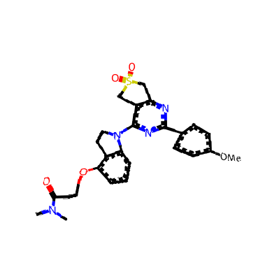 COc1ccc(-c2nc3c(c(N4CCc5c(OCC(=O)N(C)C)cccc54)n2)CS(=O)(=O)C3)cc1